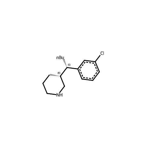 CCCC[C@H](c1cccc(Cl)c1)[C@H]1CCCNC1